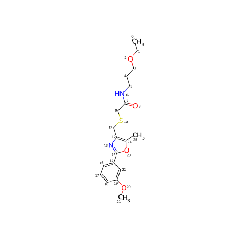 CCOCCCNC(=O)CSCc1nc(-c2cccc(OC)c2)oc1C